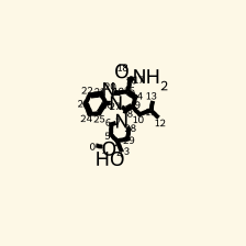 COC1(CO)CCN(c2c(CC(C)C)cc(C(N)=O)c3nc4ccccc4n23)CC1